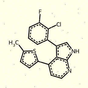 Cc1ccc(-c2ccnc3[nH]cc(-c4cccc(F)c4Cl)c23)s1